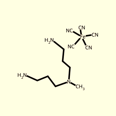 CN(CCCN)CCCN.N#[C][Fe]([C]#N)([C]#N)([C]#N)[C]#N